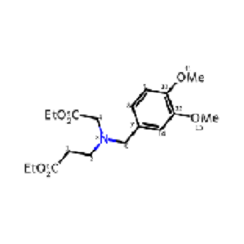 CCOC(=O)CCN(CC(=O)OCC)Cc1ccc(OC)c(OC)c1